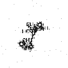 CCCCC[N+](CCO)(CCCCCCN1CCCC1C(=O)Nc1c(C)cccc1C)CC(=O)Nc1c(C)cccc1C